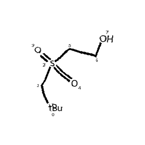 CC(C)(C)CS(=O)(=O)CCO